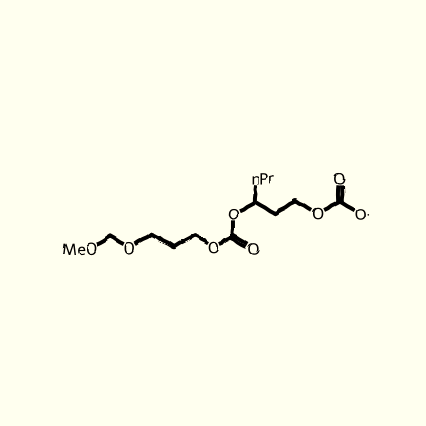 [CH2]OCOCCCOC(=O)OC(CCC)CCOC([O])=O